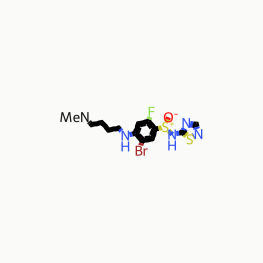 CNCCCCNc1cc(F)c([S+]([O-])Nc2ncns2)cc1Br